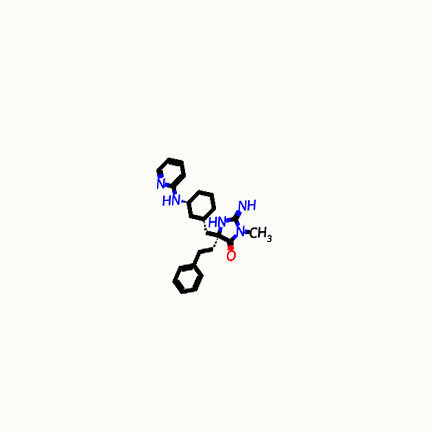 CN1C(=N)N[C@](CCc2ccccc2)(C[C@H]2CCC[C@@H](Nc3ccccn3)C2)C1=O